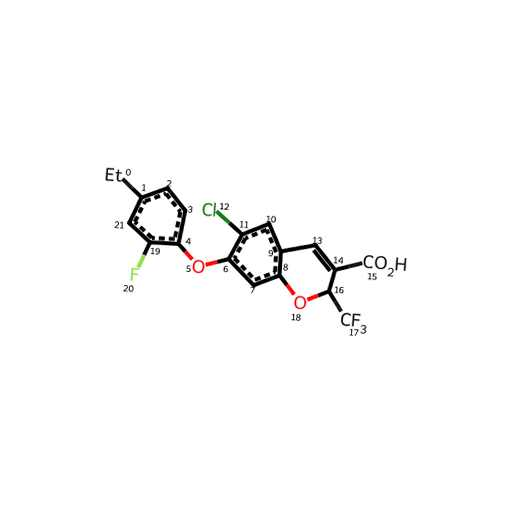 CCc1ccc(Oc2cc3c(cc2Cl)C=C(C(=O)O)C(C(F)(F)F)O3)c(F)c1